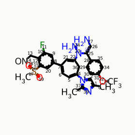 Cc1cn(C2=CC=C(c3cc(F)c(CN=O)c(S(C)(=O)=O)c3)C=C(N(N)/C(=C\N)c3ccc(OC(F)(F)F)cc3)C2)c(C)n1